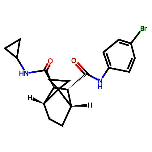 O=C(NC1CC1)[C@H]1[C@H](C(=O)Nc2ccc(Br)cc2)[C@@H]2CC[C@H]1C21CC1